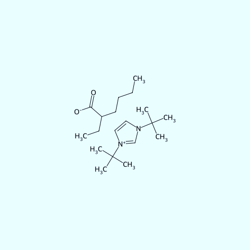 CC(C)(C)n1cc[n+](C(C)(C)C)c1.CCCCC(CC)C(=O)[O-]